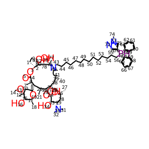 CC[C@H]1OC(=O)[C@H](C)[C@@H](C2C[C@@](C)(OC)[C@@H](O)[C@H](C)O2)[C@H](C)[C@@H](O[C@@H]2O[C@H](C)C[C@H](N(C)C)[C@H]2O)[C@](C)(O)C[C@@H](C)CN(CCCCCCCCCCCCCC[PH](c2ccccc2)(c2ccccc2)c2cnn(C)c2)[C@H](C)[C@@H](O)[C@]1(C)O